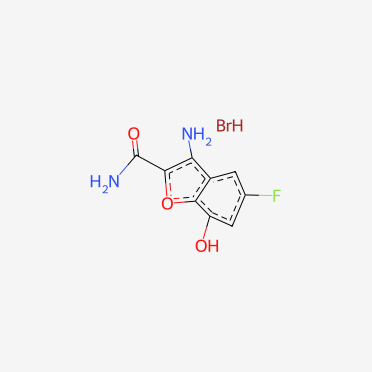 Br.NC(=O)c1oc2c(O)cc(F)cc2c1N